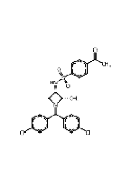 CC(=O)c1ccc(S(=O)(=O)N[C@@H]2CN(C(c3ccc(Cl)cc3)c3ccc(Cl)cc3)[C@H]2C)cc1